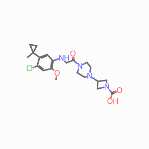 COc1cc(Cl)c(C2(C)CC2)cc1NCC(=O)N1CCN(C2CN(C(=O)O)C2)CC1